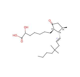 CCCCC(C)(C)C/C=C/[C@H]1[C@H](C)CC(=O)[C@@H]1CCCCCC(O)C(=O)O